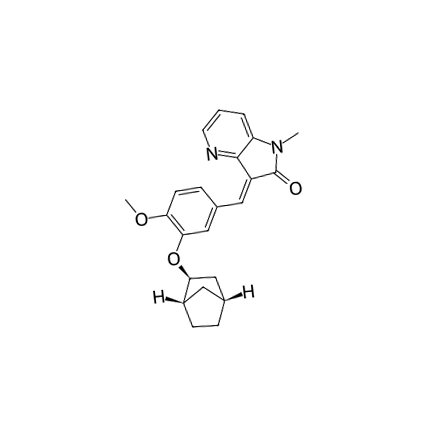 COc1ccc(/C=C2/C(=O)N(C)c3cccnc32)cc1O[C@H]1C[C@@H]2CC[C@H]1C2